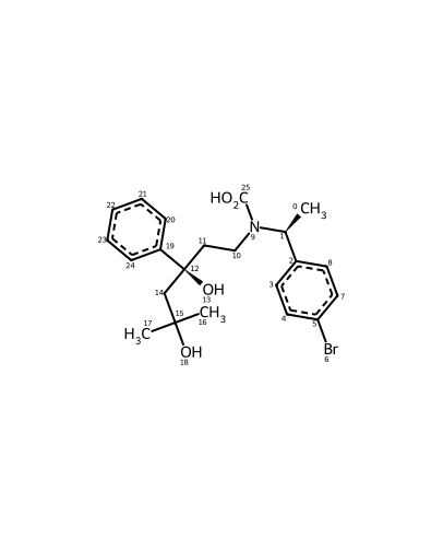 C[C@@H](c1ccc(Br)cc1)N(CC[C@](O)(CC(C)(C)O)c1ccccc1)C(=O)O